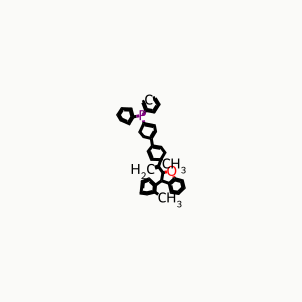 C=C(C1Oc2ccccc2C1c1ccccc1C)C1(C)C=CC(C2=CC=C(P(c3ccccc3)c3ccccc3)CC2)=CC1